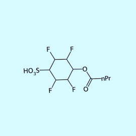 CCCC(=O)OC1C(F)C(F)C(S(=O)(=O)O)C(F)C1F